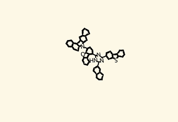 c1ccc2cc(C3N=C(c4ccc5c(c4)sc4ccccc45)N=C(c4ccc(-n5c6cc7ccccc7cc6c6c7ccccc7ccc65)c5oc6ccccc6c45)N3)ccc2c1